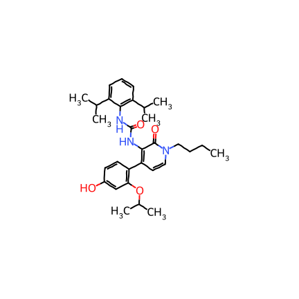 CCCCn1ccc(-c2ccc(O)cc2OC(C)C)c(NC(=O)Nc2c(C(C)C)cccc2C(C)C)c1=O